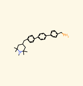 CN1C(C)(C)CC(Cc2ccc(-c3ccc(-c4ccc(CP)cc4)cc3)cc2)CC1(C)C